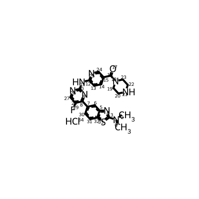 CN(C)c1nc2cc(-c3nc(Nc4ccc(C(=O)N5CCNCC5)cn4)ncc3F)ccc2s1.Cl